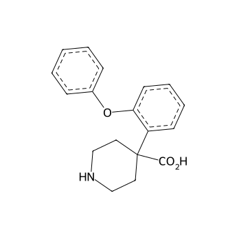 O=C(O)C1(c2ccccc2Oc2ccccc2)CCNCC1